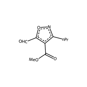 CCCc1noc(C=O)c1C(=O)OC